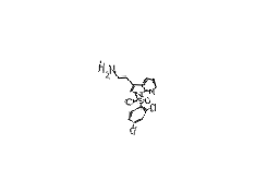 NCCc1cn(S(=O)(=O)c2ccc(Cl)cc2Cl)c2ncccc12